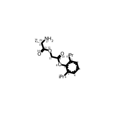 CC(C)c1cccc(C(C)C)c1OC(=O)COC(=O)[C@H](C)N